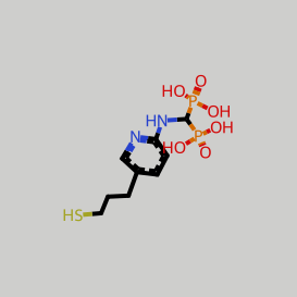 O=P(O)(O)C(Nc1ccc(CCCS)cn1)P(=O)(O)O